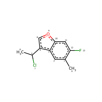 Cc1cc2c(C(C)Cl)coc2cc1F